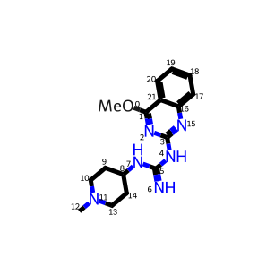 COc1nc(NC(=N)NC2CCN(C)CC2)nc2ccccc12